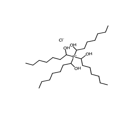 CCCCCCC(O)[P+](C(O)CCCCCC)(C(O)CCCCCC)C(O)CCCCCC.[Cl-]